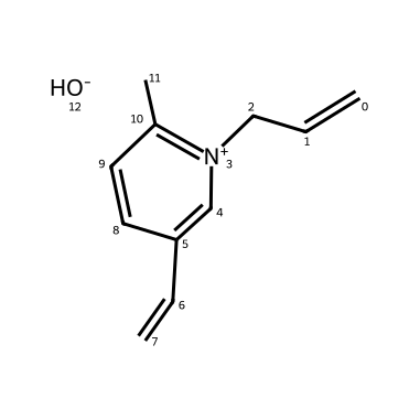 C=CC[n+]1cc(C=C)ccc1C.[OH-]